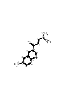 CN(C)C=CC(=O)c1cnc2ccc(N)cc2c1